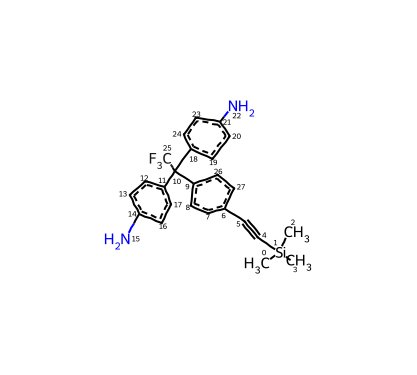 C[Si](C)(C)C#Cc1ccc(C(c2ccc(N)cc2)(c2ccc(N)cc2)C(F)(F)F)cc1